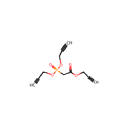 C#CCOC(=O)CP(=O)(OCC#C)OCC#C